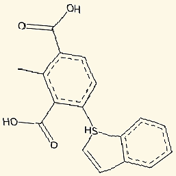 Cc1c(C(=O)O)ccc([SH]2C=Cc3ccccc32)c1C(=O)O